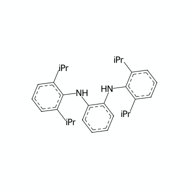 CC(C)c1cccc(C(C)C)c1Nc1ccccc1Nc1c(C(C)C)cccc1C(C)C